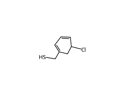 SCC1=CC=CC(Cl)C1